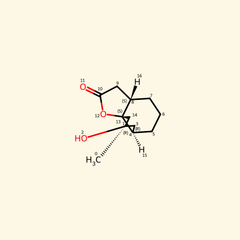 C[C@@]1(O)C[C@H]2CCC[C@H]3CC(=O)O[C@@]23C1